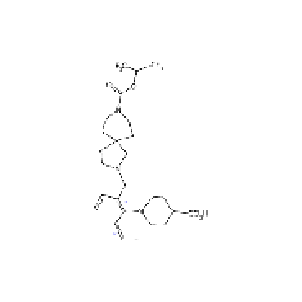 C=C/C(CN1CCC2(CCN(C(=O)OC(C(F)(F)F)C(F)(F)F)CC2)C1)=C(\C=C/C)N1CCC(C(=O)O)CC1